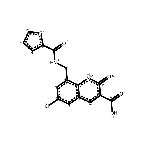 O=C(NCc1cc(Cl)cc2cc(C(=O)O)c(=O)[nH]c12)c1cccs1